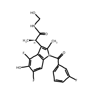 Cc1c([C@@H](C)C(=O)NCO)c2c(F)c(O)c(F)cc2n1C(=O)c1cccc(F)c1